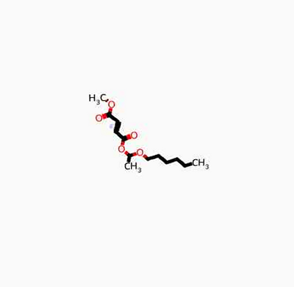 CCCCCCOC(C)OC(=O)/C=C/C(=O)OC